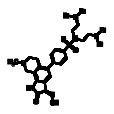 CCN(CC)CCN(CCN(CC)CC)S(=O)(=O)c1ccc(-c2cc3c(c4c2CCN(C)C4)NC(=O)/C3=N\O)cc1